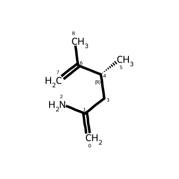 C=C(N)C[C@@H](C)C(=C)C